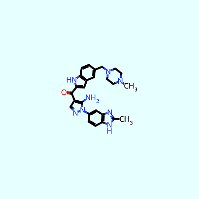 Cc1nc2cc(-n3ncc(C(=O)c4cc5cc(CN6CCN(C)CC6)ccc5[nH]4)c3N)ccc2[nH]1